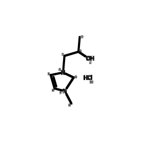 CC(O)CN1C=CN(C)C1.Cl